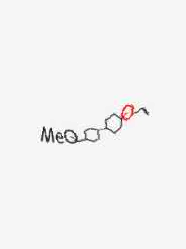 C=CCOC1CCC(C2CCC(COC)CC2)CC1